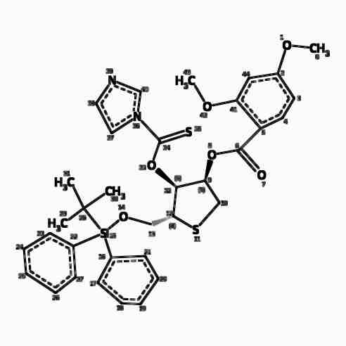 COc1ccc(C(=O)O[C@H]2CS[C@H](CO[Si](c3ccccc3)(c3ccccc3)C(C)(C)C)[C@H]2OC(=S)n2ccnc2)c(OC)c1